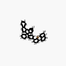 C1=CC2C(c3ccccc31)c1c3cc-3cc1C2(c1ccccc1)c1ccc(-c2cccc3c2Sc2cccc4cccc-3c24)cc1